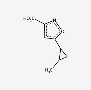 CC1CC1c1cc(C(=O)O)no1